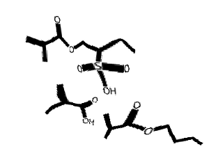 C=C(C)C(=O)O.C=C(C)C(=O)OCC(CC)S(=O)(=O)O.C=C(C)C(=O)OCCCC